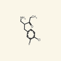 CCC(=O)C(CN)Cc1ccc(Cl)c(F)c1